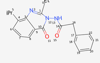 CCc1nc2c(C(C)C)cccc2c(=O)n1NC(=O)Cc1ccccc1